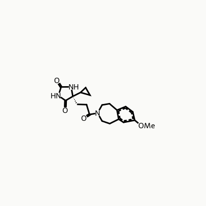 COc1ccc2c(c1)CCN(C(=O)CC[C@@]1(C3CC3)NC(=O)NC1=O)CC2